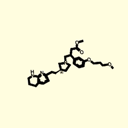 COCCCOc1cccc(C(CC(=O)OC)CN2CC[C@@H](CCc3ccc4c(n3)NCCC4)C2)c1